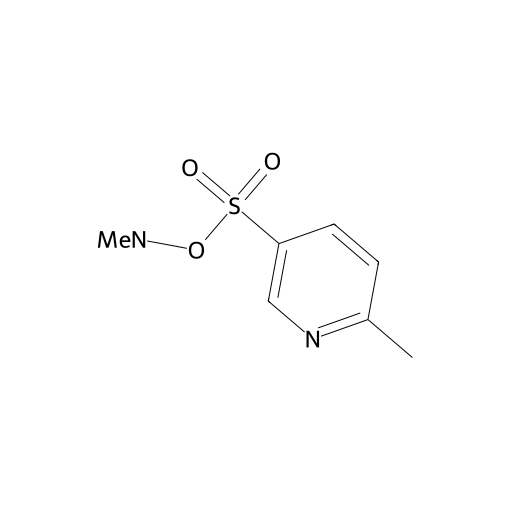 CNOS(=O)(=O)c1ccc(C)nc1